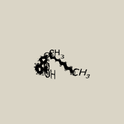 CCCCCCCCCCC(C)Oc1ccc(-c2ccccc2C(=O)O)cc1